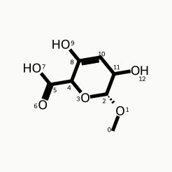 CO[C@@H]1OC(C(=O)O)C(O)=CC1O